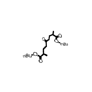 CCCCOC(=O)C(C)CCC(=O)CCC(C)C(=O)OCCCC